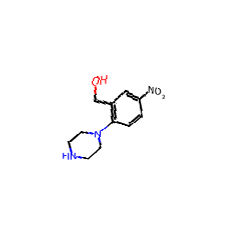 O=[N+]([O-])c1ccc(N2CCNCC2)c(CO)c1